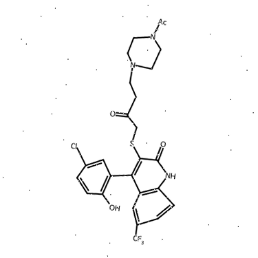 CC(=O)N1CCN(CCC(=O)CSc2c(-c3cc(Cl)ccc3O)c3cc(C(F)(F)F)ccc3[nH]c2=O)CC1